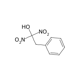 O=[N+]([O-])C(O)(Cc1ccccc1)[N+](=O)[O-]